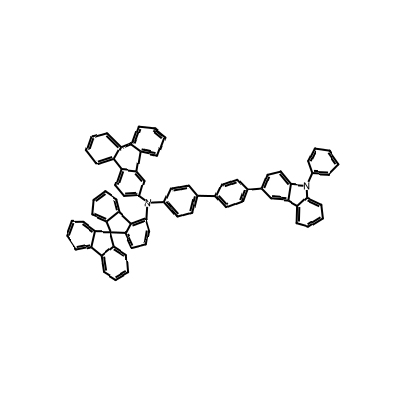 c1ccc(-n2c3ccccc3c3cc(-c4ccc(-c5ccc(N(c6ccc7c8ccccc8c8ccccc8c7c6)c6cccc7c6-c6ccccc6C76c7ccccc7-c7ccccc76)cc5)cc4)ccc32)cc1